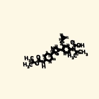 CC(C)OC(=O)NC1CCC(c2ncc(-c3ccc(N(C(=O)O)C(C)C)cc3SC3CC3)s2)CC1